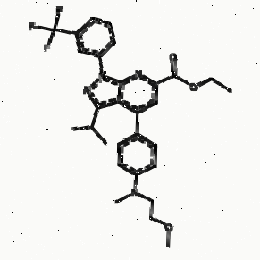 CCOC(=O)c1cc(-c2ccc(N(C)CCOC)cc2)c2c(C(C)C)nn(-c3cccc(C(F)(F)F)c3)c2n1